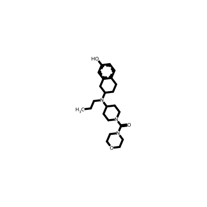 CCCN(C1CCN(C(=O)N2CCOCC2)CC1)C1CCc2ccc(O)cc2C1